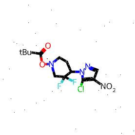 CC(C)(C)C(=O)ON1CCC(n2ncc([N+](=O)[O-])c2Cl)C(F)(F)C1